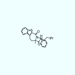 CC(C)CCNC(=O)C1(C)CCc2c(sc3ccccc23)C(=O)N1Cc1ccccc1